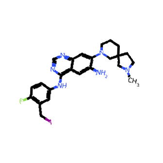 CN1CCC2(CCCN(c3cc4ncnc(Nc5ccc(F)c(CI)c5)c4cc3N)C2)C1